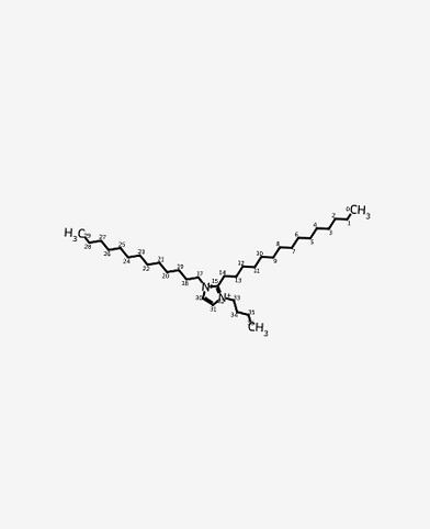 CCCCCCCCCCCCCCCc1n(CCCCCCCCCCCCC)cc[n+]1CCCC